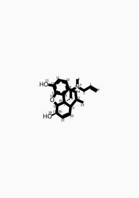 C=CCN(C)CC[C@@]12c3c4ccc(O)c3OC1[C@H](O)C=CC2C(C)C4